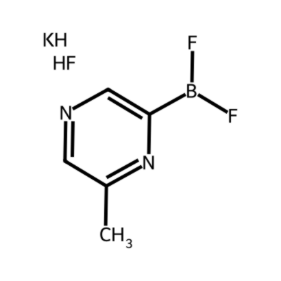 Cc1cncc(B(F)F)n1.F.[KH]